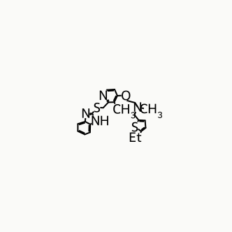 CCc1ccc(CN(C)CCOc2ccnc(CSc3nc4ccccc4[nH]3)c2C)s1